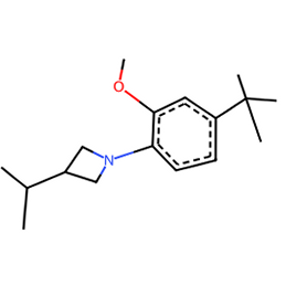 COc1cc(C(C)(C)C)ccc1N1CC(C(C)C)C1